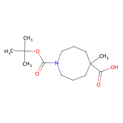 CC(C)(C)OC(=O)N1CCCC(C)(C(=O)O)CCC1